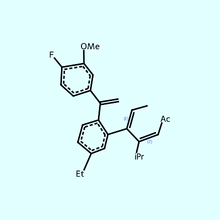 C=C(c1ccc(F)c(OC)c1)c1ccc(CC)cc1C(=C/C)/C(=C\C(C)=O)C(C)C